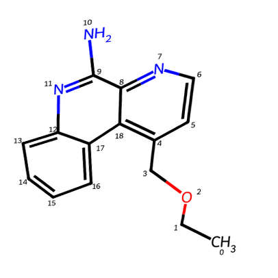 CCOCc1ccnc2c(N)nc3ccccc3c12